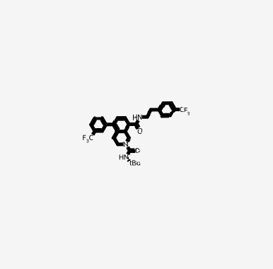 CC(C)(C)NC(=O)N1CCC2=C(c3cccc(C(F)(F)F)c3)C=CC(C(=O)NCCc3ccc(C(F)(F)F)cc3)C2C1